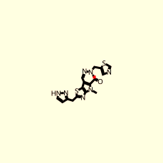 CN(Cc1cncs1)/N=C\c1c(C=O)n(C)c2nc(Cc3cc[nH]n3)sc12